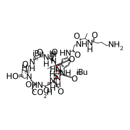 CCC(C)[C@@H]1NC(=O)[C@@H]2C[C@@H](O)CN2C(=O)[C@H](CC(=O)O)NC(=O)[C@@H]2CSc3[nH]c4ccc(NC(=O)CNC(=O)C(C)NC(=O)CCCN)cc4c3C[C@H](NC1=O)C(=O)NCC(=O)N[C@@H]([C@@H](C)CC)C(=O)NCC(=O)N2